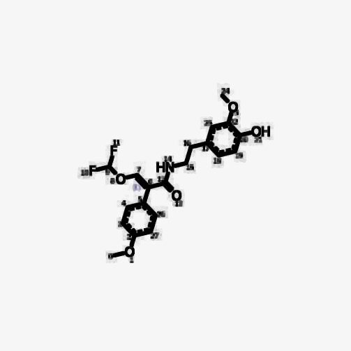 COc1ccc(/C(=C\OC(F)F)C(=O)NCCc2ccc(O)c(OC)c2)cc1